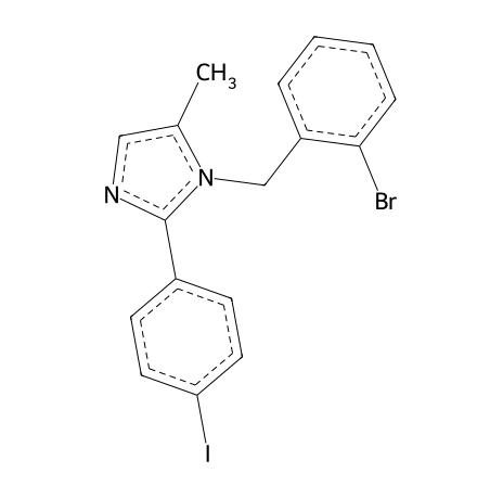 Cc1cnc(-c2ccc(I)cc2)n1Cc1ccccc1Br